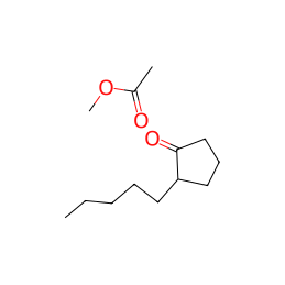 CCCCCC1CCCC1=O.COC(C)=O